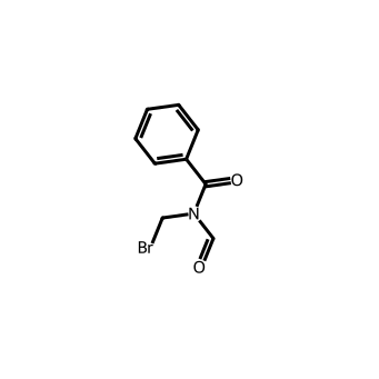 O=CN(CBr)C(=O)c1ccccc1